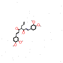 C=CCC(C(=O)/C=C/c1ccc(OC)c(OC)c1)C(=O)/C=C/c1ccc(OC)c(OC)c1